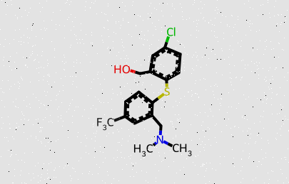 CN(C)Cc1cc(C(F)(F)F)ccc1Sc1ccc(Cl)cc1CO